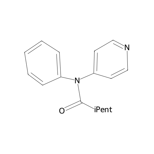 CCCC(C)C(=O)N(c1ccccc1)c1ccncc1